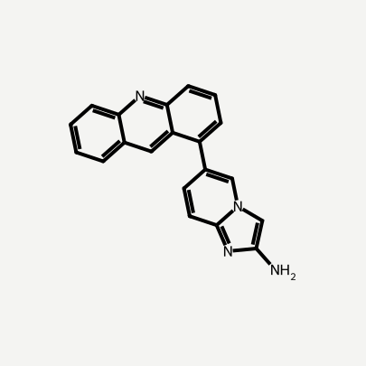 Nc1cn2cc(-c3cccc4nc5ccccc5cc34)ccc2n1